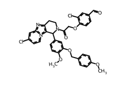 COc1ccc(COc2cc(C3c4c(nc5cc(Cl)ccn45)CCN3C(=O)COc3ccc(C=O)cc3Cl)ccc2OC)cc1